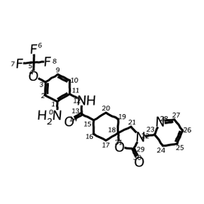 Nc1cc(OC(F)(F)F)ccc1NC(=O)C1CCC2(CC1)CN(C1CC=CC=N1)C(=O)O2